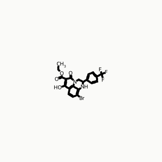 CCOC(=O)c1c(O)c2ccc(Br)c3c2n(c1=O)CC(c1ccc(C(F)(F)F)cc1)N3